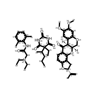 C=C(C)[C@H]1Cc2c(ccc3c2O[C@@H]2COc4cc(OC)c(OC)cc4[C@@H]2C3=O)O1.CCCC(C)C1(CC)C(=O)NC(=O)NC1=O.CCN(CC)CC(=O)Nc1c(C)cccc1C